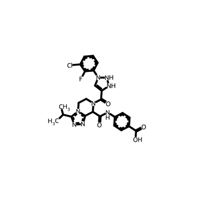 CC(C)c1nnc2n1CCN(C(=O)C1=CN(c3cccc(Cl)c3F)NN1)C2C(=O)Nc1ccc(C(=O)O)cc1